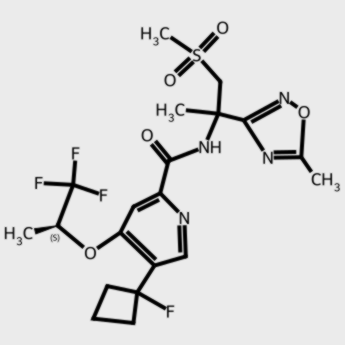 Cc1nc(C(C)(CS(C)(=O)=O)NC(=O)c2cc(O[C@@H](C)C(F)(F)F)c(C3(F)CCC3)cn2)no1